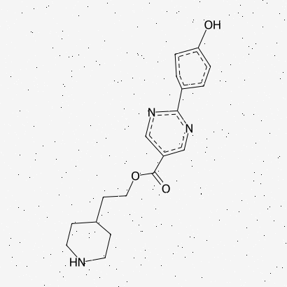 O=C(OCCC1CCNCC1)c1cnc(-c2ccc(O)cc2)nc1